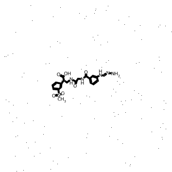 CS(=O)(=O)c1cccc(C(CNC(=O)CNC(=O)c2cccc(NC=NN)c2)C(=O)O)c1